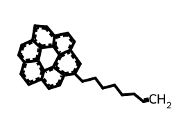 C=CCCCCCCc1cc2ccc3ccc4ccc5ccc6ccc1c1c6c5c4c3c21